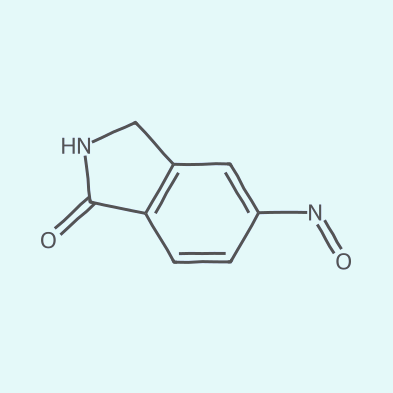 O=Nc1ccc2c(c1)CNC2=O